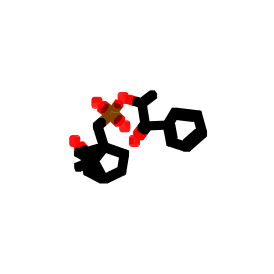 CC(OS(=O)(=O)CC12CCC(CC1=O)C2(C)C)C(=O)c1ccccc1